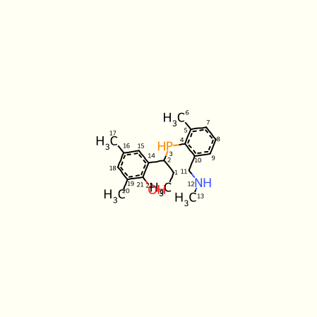 CCC(Pc1c(C)cccc1CNC)c1cc(C)cc(C)c1O